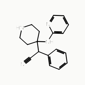 N#CC(c1ccccc1)C1(Nc2cc[c]cn2)CCNCC1